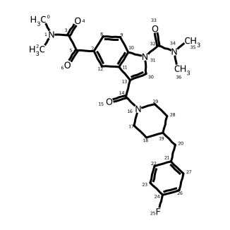 CN(C)C(=O)C(=O)c1ccc2c(c1)c(C(=O)N1CCC(Cc3ccc(F)cc3)CC1)cn2C(=O)N(C)C